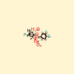 COCOOC1(C)C2C(F)[C@@H]2C[C@@H]1OCc1ccc(F)c(F)c1.O